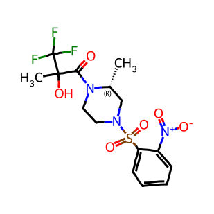 C[C@@H]1CN(S(=O)(=O)c2ccccc2[N+](=O)[O-])CCN1C(=O)C(C)(O)C(F)(F)F